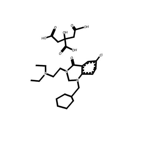 CCN(CC)CCN1CN(CC2CCCCC2)c2ccc(Cl)cc2C1=O.O=C(O)CC(O)(CC(=O)O)C(=O)O